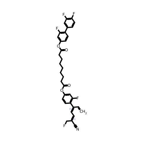 C=C/C(=C\C=C(\C#N)CF)c1ccc(OC(=O)CCCCCCCC(=O)Oc2ccc(-c3ccc(F)c(F)c3)c(F)c2)cc1F